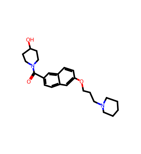 O=C(c1ccc2cc(OCCCN3CCCCC3)ccc2c1)N1CCC(O)CC1